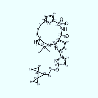 CC1(C)C[C@@H]2CCCn3ccc(n3)S(=O)(=O)NC(=O)c3ccc(-n4ccc(OCCC5C6(CC6)C56CC6)n4)nc3N1C2